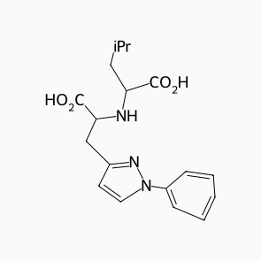 CC(C)CC(NC(Cc1ccn(-c2ccccc2)n1)C(=O)O)C(=O)O